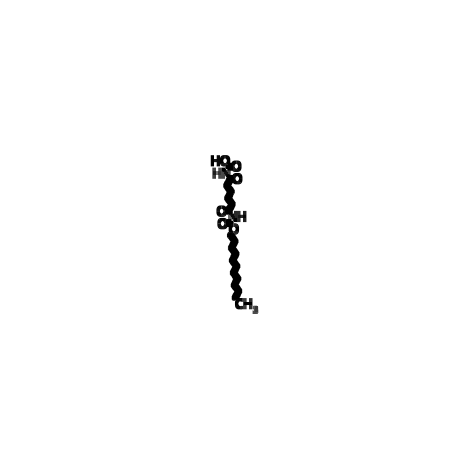 CCCCCCCCCCCCOC(=O)NC(=O)CCCCC(=O)NC(=O)O